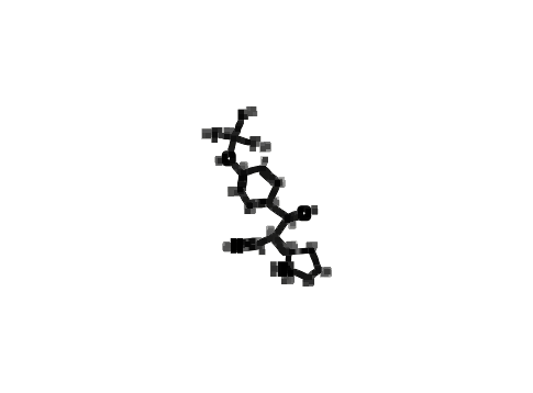 N#CC(C(=O)c1ccc(OC(F)(F)F)cc1)=C1CCCN1